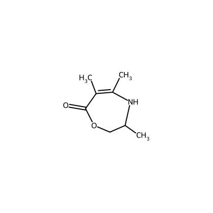 CC1=C(C)C(=O)OCC(C)N1